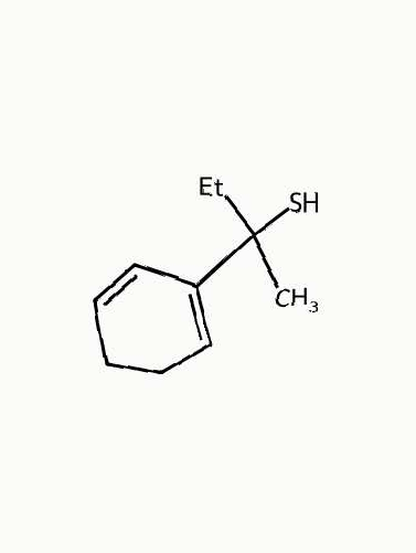 CCC(C)(S)C1=CCCC=C1